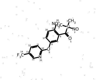 CS(C)(N=O)C(=O)c1cc(Oc2ccc(C(F)(F)F)cn2)ccc1[N+](=O)[O-]